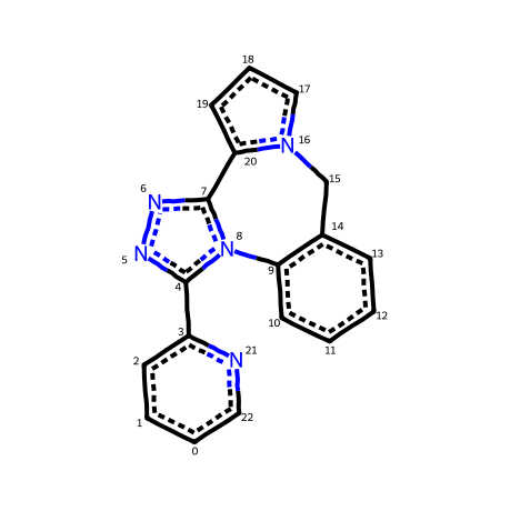 c1ccc(-c2nnc3n2-c2ccccc2Cn2cccc2-3)nc1